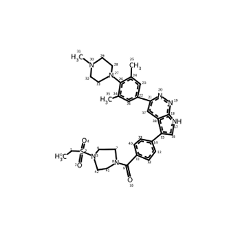 CCS(=O)(=O)N1CCN(C(=O)c2ccc(-c3c[nH]c4nnc(-c5cc(C)c(N6CCN(C)CC6)c(C)c5)cc34)cc2)CC1